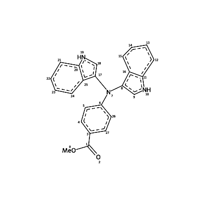 COC(=O)c1ccc(N(c2c[nH]c3ccccc23)c2c[nH]c3ccccc23)cc1